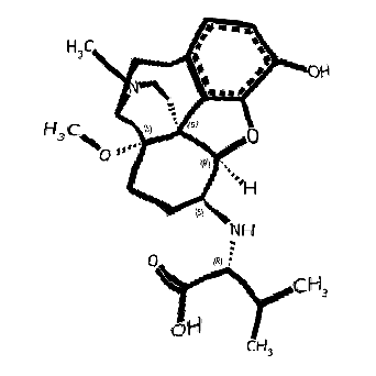 CO[C@@]12CC[C@H](N[C@@H](C(=O)O)C(C)C)[C@@H]3Oc4c(O)ccc5c4[C@@]31CCN(C)C2C5